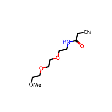 COCCOCCOCCNC(=O)CC#N